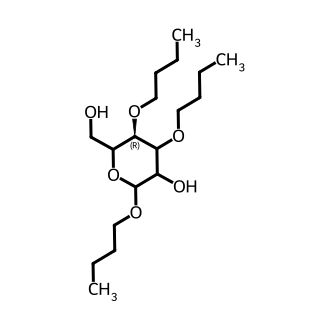 CCCCOC1OC(CO)[C@@H](OCCCC)C(OCCCC)C1O